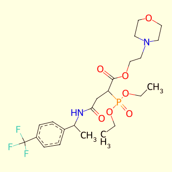 CCOP(=O)(OCC)C(CC(=O)NC(C)c1ccc(C(F)(F)F)cc1)C(=O)OCCN1CCOCC1